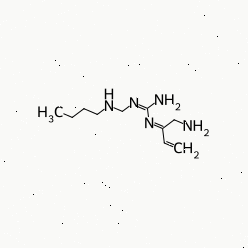 C=C/C(CN)=N/C(N)=N\CNCCCC